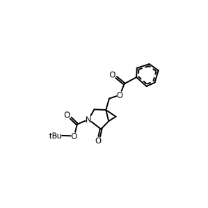 CC(C)(C)OC(=O)N1CC2(COC(=O)c3ccccc3)CC2C1=O